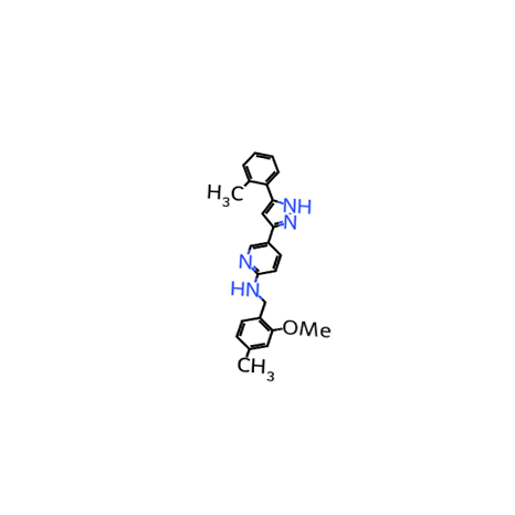 COc1cc(C)ccc1CNc1ccc(-c2cc(-c3ccccc3C)[nH]n2)cn1